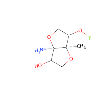 C[C@]12OCC(O)[C@@]1(N)OCC2OF